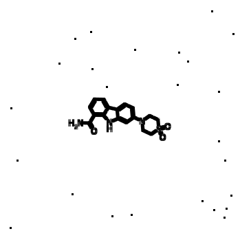 NC(=O)c1cccc2c1[nH]c1cc(N3CCS(=O)(=O)CC3)ccc12